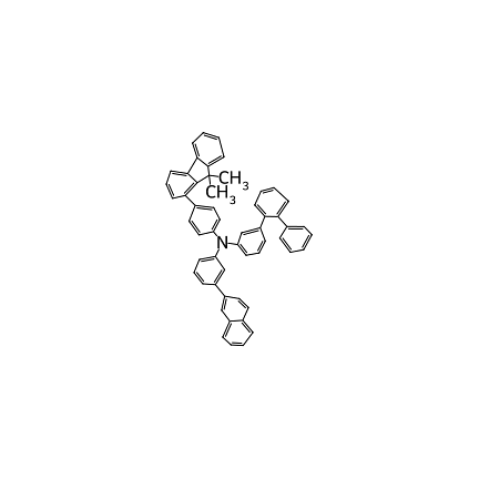 CC1(C)c2ccccc2-c2cccc(-c3ccc(N(c4cccc(-c5ccc6ccccc6c5)c4)c4cccc(-c5ccccc5-c5ccccc5)c4)cc3)c21